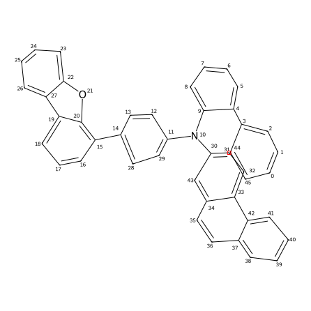 c1ccc(-c2ccccc2N(c2ccc(-c3cccc4c3oc3ccccc34)cc2)c2ccc3c(ccc4ccccc43)c2)cc1